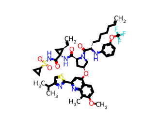 C=CCCCCC[C@H](Nc1cccc(OC(F)(F)F)c1)C(=O)N1C[C@H](Oc2cc(-c3nc(C(C)C)cs3)nc3c(C)c(OC)ccc23)C[C@H]1C(=O)N[C@]1(C(=O)NS(=O)(=O)C2CC2)C[C@H]1C=C